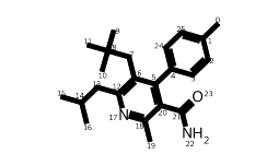 Cc1ccc(-c2c(CC(C)(C)C)c(CC(C)C)nc(C)c2C(N)=O)cc1